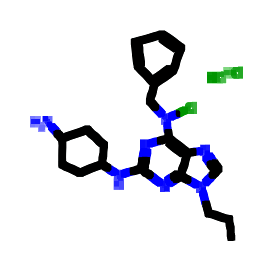 CCCn1cnc2c(N(Cl)Cc3ccccc3)nc(NC3CCC(N)CC3)nc21.Cl.Cl